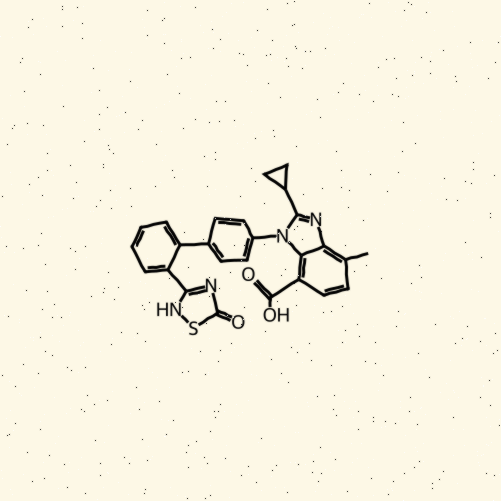 Cc1ccc(C(=O)O)c2c1nc(C1CC1)n2-c1ccc(-c2ccccc2-c2nc(=O)s[nH]2)cc1